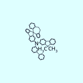 CC1(C)c2ccccc2-c2ccc(N(c3cccc(-c4ccccc4)c3)c3ccc4c(c3)C3(c5ccccc5CCc5ccccc53)c3ccccc3-4)cc21